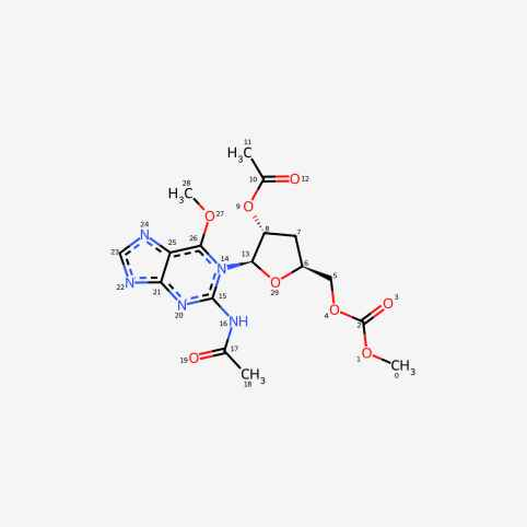 COC(=O)OC[C@@H]1C[C@@H](OC(C)=O)[C@H](n2c(NC(C)=O)nc3ncnc-3c2OC)O1